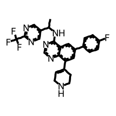 CC(Nc1ncnc2c(C3=CCNCC3)cc(-c3ccc(F)cc3)cc12)c1cnc(C(F)(F)F)nc1